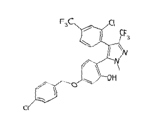 Cn1nc(C(F)(F)F)c(-c2ccc(C(F)(F)F)cc2Cl)c1-c1ccc(OCc2ccc(Cl)cc2)cc1O